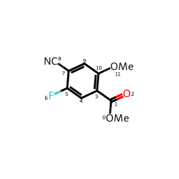 COC(=O)c1cc(F)c(C#N)cc1OC